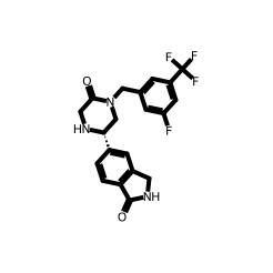 O=C1NCc2cc([C@H]3CN(Cc4cc(F)cc(C(F)(F)F)c4)C(=O)CN3)ccc21